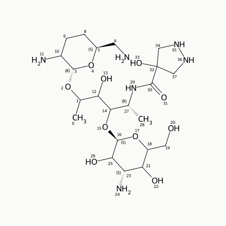 CC(O[C@H]1O[C@H](CN)CCC1N)C(O)C(O[C@H]1OC(CO)C(O)[C@H](N)C1O)[C@@H](C)NC(=O)C1(O)CNNC1